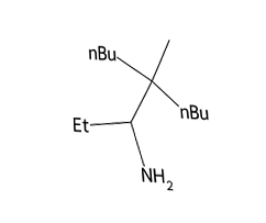 CCCCC(C)(CCCC)C(N)CC